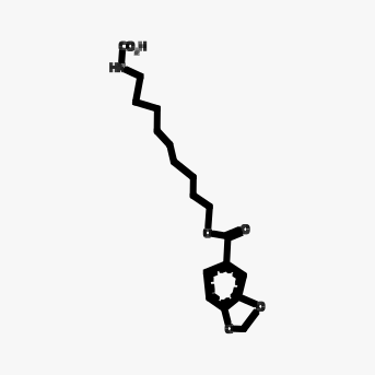 O=C(O)NCCCCCCCCCOC(=O)c1ccc2c(c1)OCO2